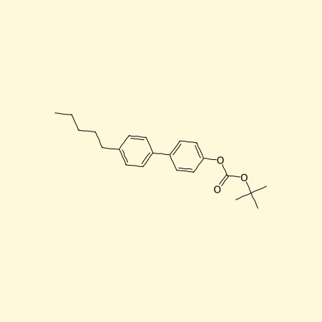 CCCCCc1ccc(-c2ccc(OC(=O)OC(C)(C)C)cc2)cc1